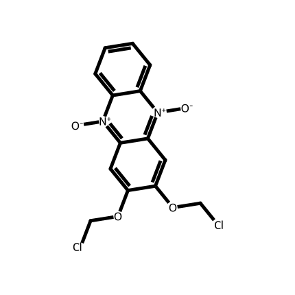 [O-][n+]1c2ccccc2[n+]([O-])c2cc(OCCl)c(OCCl)cc21